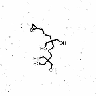 OCC(CO)(CO)COCC(CO)(CO)COCC1CO1